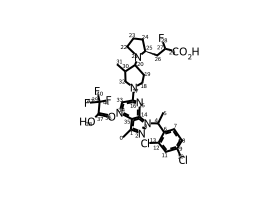 Cc1nn(C(C)c2ccc(Cl)cc2Cl)c2nc(N3CCC(N4CCC[C@H]4CC(F)C(=O)O)C(C)C3)cnc12.O=C(O)C(F)(F)F